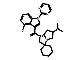 CN(C)C1CCN(C2(CNC(=O)c3cn(-c4ncccn4)c4cccc(Cl)c34)CCCCC2)C1